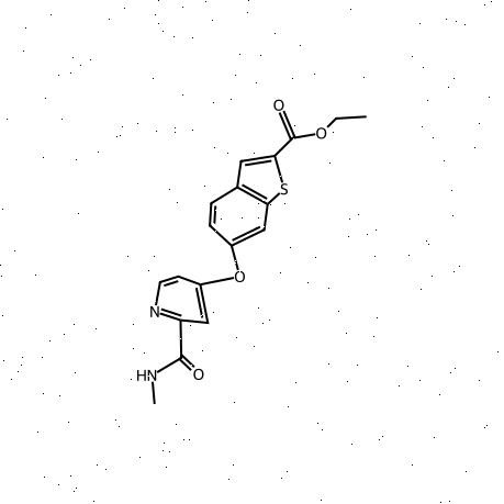 CCOC(=O)c1cc2ccc(Oc3ccnc(C(=O)NC)c3)cc2s1